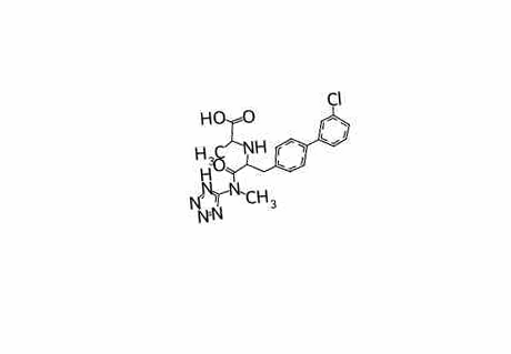 CC(NC(Cc1ccc(-c2cccc(Cl)c2)cc1)C(=O)N(C)c1nnn[nH]1)C(=O)O